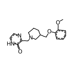 COc1ccccc1OCC1CCCN(Cc2ncc[nH]c2=O)C1